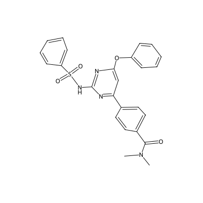 CN(C)C(=O)c1ccc(-c2cc(Oc3ccccc3)nc(NS(=O)(=O)c3ccccc3)n2)cc1